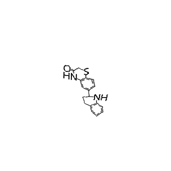 O=C1CSc2ccc(C3CCc4ccccc4N3)cc2N1